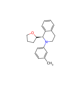 Cc1cccc(N2CCc3ccccc3[C@@H]2C2CCCO2)c1